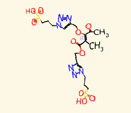 CC(=O)/C(OCc1cn(CCCS(=O)(=O)O)nn1)=C(\C)C(=O)OCc1cn(CCCS(=O)(=O)O)nn1